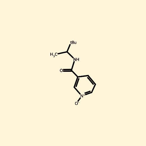 CC(NC(=O)c1ccc[n+]([O-])c1)C(C)(C)C